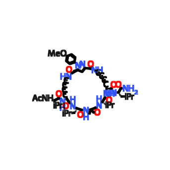 COc1ccc(N2N=C3CC2(C)C(=O)NCCCC[C@H](NC(=O)[C@@H](NC(C)=O)C(C)C)C(=O)N[C@@H](CC(C)C)C(=O)NC(C)(C)C(=O)N[C@@H](C(C)C)C(=O)N[C@H](C(=O)N[C@@H](CC(C)C)C(N)=O)CCCCNC3=O)cc1